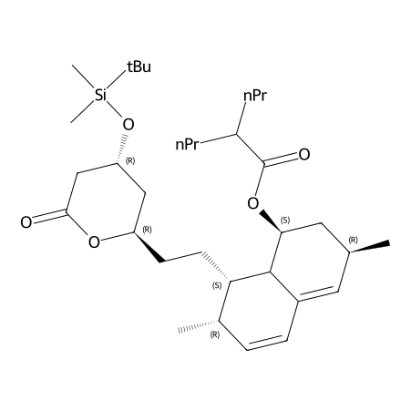 CCCC(CCC)C(=O)O[C@H]1C[C@@H](C)C=C2C=C[C@H](C)[C@H](CC[C@@H]3C[C@@H](O[Si](C)(C)C(C)(C)C)CC(=O)O3)C21